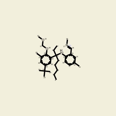 CCCCCC(CC)(Pc1ccc(C)cc1/C=N/C)c1cc(C(C)(C)C)cc(C)c1OCOC